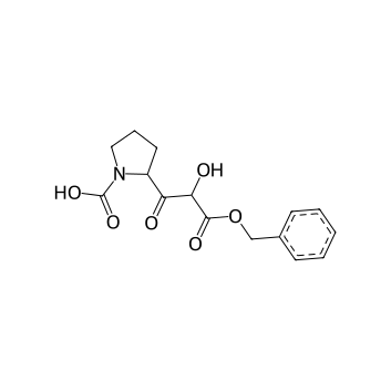 O=C(OCc1ccccc1)C(O)C(=O)C1CCCN1C(=O)O